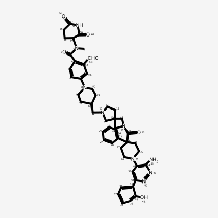 CN(C(=O)c1ccc(N2CCC(CN3CCC4(C3)CN(C(=O)C3(c5ccccc5)CCN(c5cc(-c6ccccc6O)nnc5N)CC3)C4)CC2)cc1C=O)C1CCC(=O)NC1=O